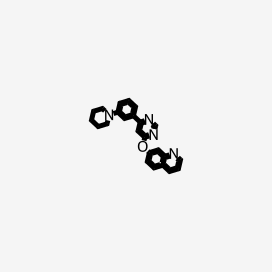 c1cc(-c2cc(Oc3ccc4cccnc4c3)ncn2)cc(N2CCCCC2)c1